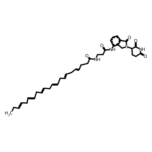 CCC=CCC=CCC=CCC=CCC=CCC=CCCC(=O)NCCC(=O)Nc1cccc2c1CN(C1CCC(=O)NC1=O)C2=O